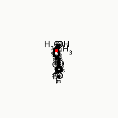 CC(C)(O)CN1C2CCC1CC1(C2)CN(S(=O)(=O)c2ccc(OC(F)F)cc2)C1